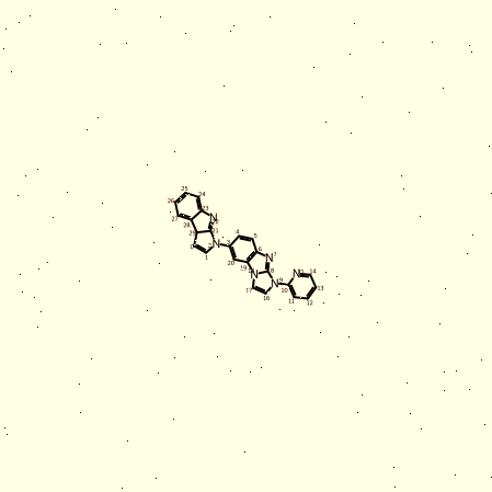 C1=CN(c2ccc3nc4n(-c5ccccn5)ccn4c3c2)C2=Nc3ccccc3C12